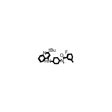 CC1=CC(C(=O)N(C)C2CCC(Nc3cc(C(C)(C)C)nc4ccccc34)CC2)=C(F)CC1